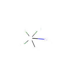 [CH3][Cr]([NH2])([Cl])([Cl])[Cl]